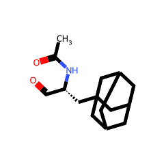 CC(=O)N[C@@H](C=O)CC12CC3CC(CC(C3)C1)C2